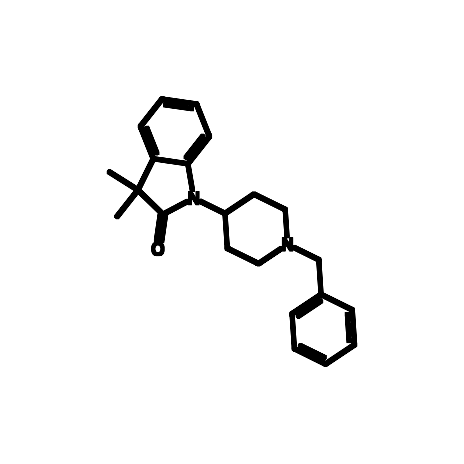 CC1(C)C(=O)N(C2CCN(Cc3ccccc3)CC2)c2ccccc21